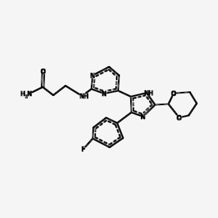 NC(=O)CCNc1nccc(-c2[nH]c(C3OCCCO3)nc2-c2ccc(F)cc2)n1